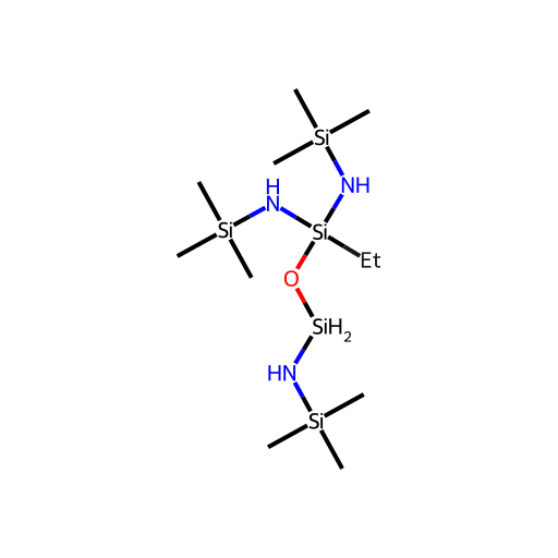 CC[Si](N[Si](C)(C)C)(N[Si](C)(C)C)O[SiH2]N[Si](C)(C)C